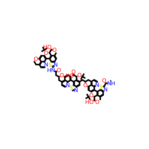 CNC(=O)c1nc2cc(C)c([C@H](OC(C)(C)C)C(=O)O)c(-c3ccc4c5c(ccnc35)CC(Cc3cc5ncsc5c(-c5ccc6c7c(ccnc57)CC(CC(=O)Nc5nc7cc(C)c([C@H](OC(C)(C)C)C(=O)O)c(-c8ccc9c%10c(ccnc8%10)CCO9)c7s5)O6)c3[C@H](OC(C)(C)C)C(=O)O)O4)c2s1